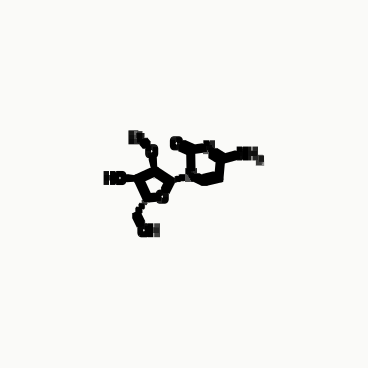 CCO[C@@H]1[C@H](O)[C@@H](CO)O[C@H]1n1ccc(N)nc1=O